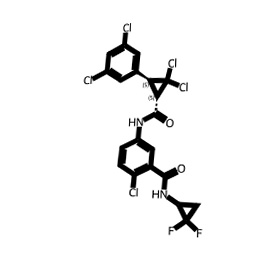 O=C(NC1CC1(F)F)c1cc(NC(=O)[C@@H]2[C@@H](c3cc(Cl)cc(Cl)c3)C2(Cl)Cl)ccc1Cl